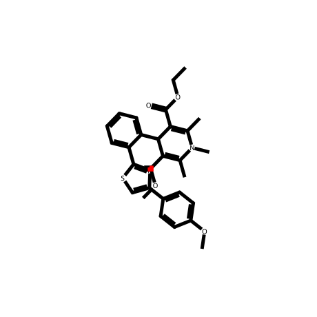 CCOC(=O)C1=C(C)N(C)C(C)=C(C(=O)OC)C1c1ccccc1-c1nc(-c2ccc(OC)cc2)cs1